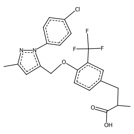 Cc1cc(COc2ccc(CC(C)C(=O)O)cc2C(F)(F)F)n(-c2ccc(Cl)cc2)n1